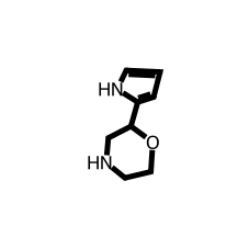 c1c[nH]c(C2CNCCO2)c1